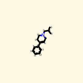 C[C](C)CN1CC=C(c2ccccc2)CC1